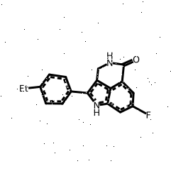 CCc1ccc(-c2[nH]c3cc(F)cc4c3c2CNC4=O)cc1